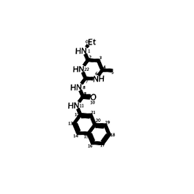 CCNC1CC(C)NC(NC(=O)Nc2ccc3ccccc3c2)N1